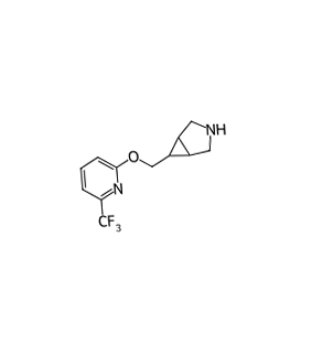 FC(F)(F)c1cccc(OCC2C3CNCC32)n1